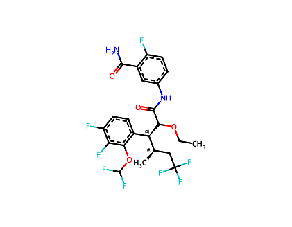 CCOC(C(=O)Nc1ccc(F)c(C(N)=O)c1)[C@H](c1ccc(F)c(F)c1OC(F)F)[C@H](C)CC(F)(F)F